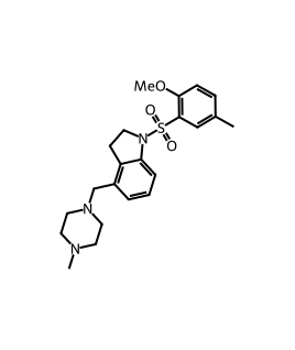 COc1ccc(C)cc1S(=O)(=O)N1CCc2c(CN3CCN(C)CC3)cccc21